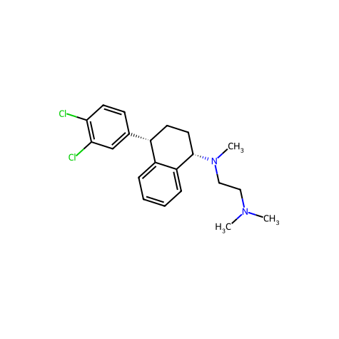 CN(C)CCN(C)[C@H]1CC[C@@H](c2ccc(Cl)c(Cl)c2)c2ccccc21